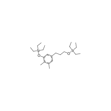 CC[Si](CC)(CC)OCCCc1cc(C)c(C)c(O[Si](CC)(CC)CC)c1